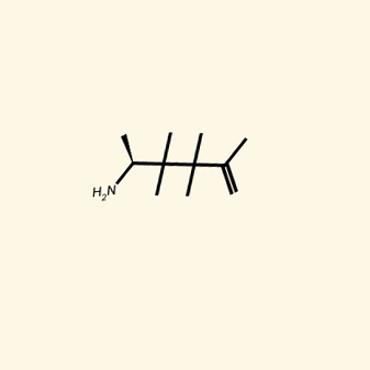 C=C(C)C(C)(C)C(C)(C)[C@H](C)N